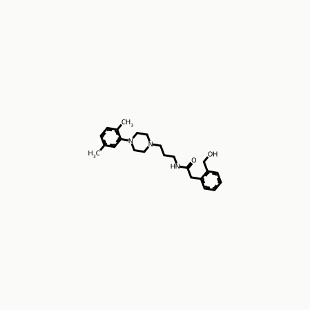 Cc1ccc(C)c(N2CCN(CCCNC(=O)Cc3ccccc3CO)CC2)c1